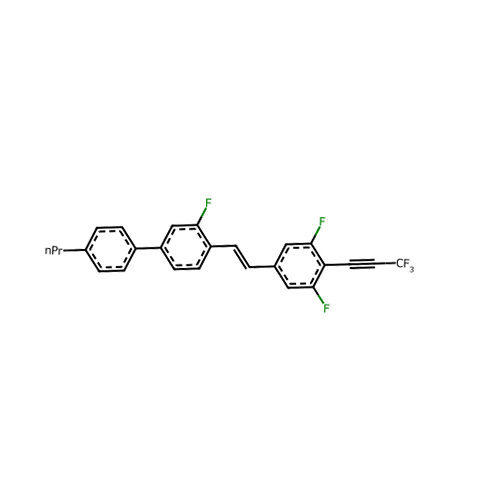 CCCc1ccc(-c2ccc(/C=C/c3cc(F)c(C#CC(F)(F)F)c(F)c3)c(F)c2)cc1